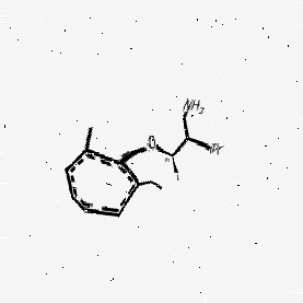 Cc1cccc(C)c1O[C@H](I)C(N)C(C)C